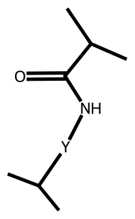 C[CH](C)[Y][NH]C(=O)C(C)C